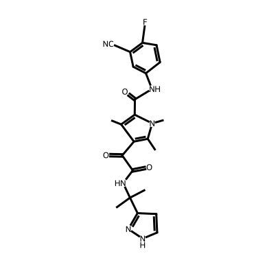 Cc1c(C(=O)C(=O)NC(C)(C)c2cc[nH]n2)c(C)n(C)c1C(=O)Nc1ccc(F)c(C#N)c1